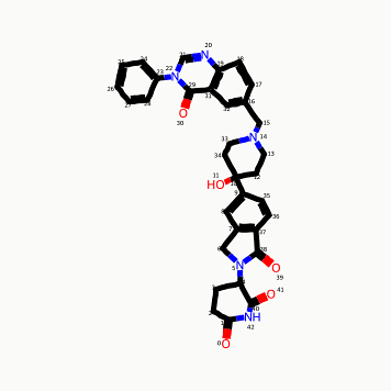 O=C1CCC(N2Cc3cc(C4(O)CCN(Cc5ccc6ncn(-c7ccccc7)c(=O)c6c5)CC4)ccc3C2=O)C(=O)N1